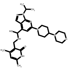 Cc1cc(C)c(CNC(O)c2cc(N3CCC(N4CCOCC4)CC3)nc3c2cnn3C(C)C)c(=O)[nH]1